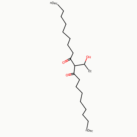 CCCCCCCCCCCCCCCCCC(=O)[C](C(=O)CCCCCCCCCCCCCCCCC)C(O)CC